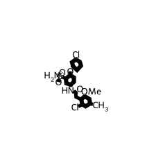 COc1cc(C)cc(Cl)c1CC(=O)Nc1ccc(Oc2cccc(Cl)c2)c(S(N)(=O)=O)c1